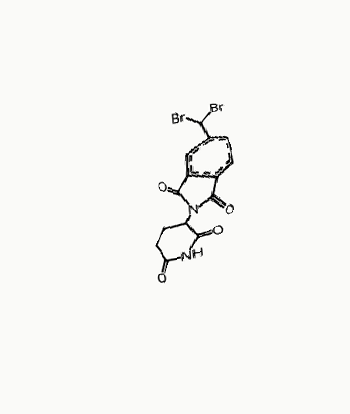 O=C1CCC(N2C(=O)c3ccc(C(Br)Br)cc3C2=O)C(=O)N1